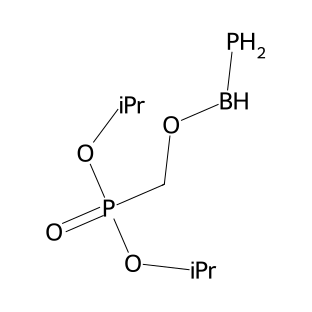 CC(C)OP(=O)(COBP)OC(C)C